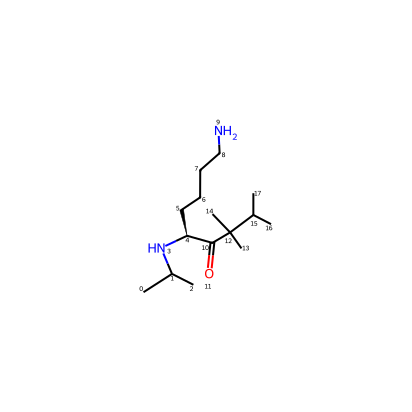 CC(C)N[C@@H](CCCCN)C(=O)C(C)(C)C(C)C